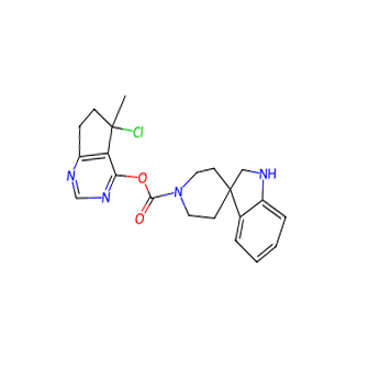 CC1(Cl)CCc2ncnc(OC(=O)N3CCC4(CC3)CNc3ccccc34)c21